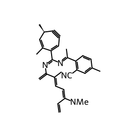 C=C/C(=C\C=C(/C)C(=C)/N=C(\N=C(/C)c1ccc(C)cc1C#N)C1=CC#C[C@H](C)C=C1C)NC